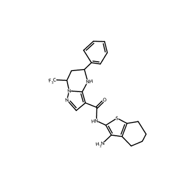 Nc1c(NC(=O)c2cnn3c2NC(c2ccccc2)CC3C(F)(F)F)sc2c1CCCC2